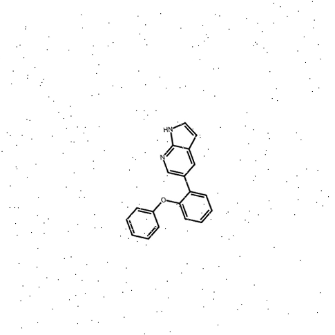 c1ccc(Oc2ccccc2-c2cnc3[nH]ccc3c2)cc1